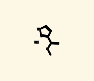 COC(=O)c1cc[nH]n1.Cl